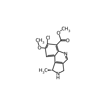 COC(=O)c1c(Cl)c(OC)cc2c3c(cnc12)CN[C@H]3C